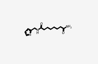 NC(=O)CCCCCCC(=O)NCc1cccs1